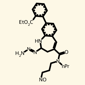 CCCN(CCCN=O)C(=O)C1=Cc2ccc(-c3ccccc3C(=O)OCC)cc2NC(N=NN)C1